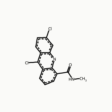 CNC(=O)c1cccc2c(Cl)c3ccc(Cl)cc3nc12